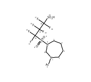 CC(=O)N1CCCCN(S(=O)(=O)C(F)(F)C(F)(F)C(F)(F)S(=O)(=O)O)C1